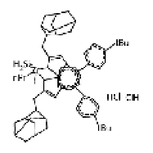 CC[CH2][Zr]([CH3])(=[SiH2])([CH]1C(CC2C3CC4CC(C3)CC2C4)=Cc2c(-c3ccc(C(C)(C)C)cc3)cccc21)[CH]1C(CC2C3CC4CC(C3)CC2C4)=Cc2c(-c3ccc(C(C)(C)C)cc3)cccc21.Cl.Cl